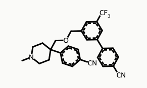 CN1CCC(COCc2cc(-c3ccc(C#N)cc3)cc(C(F)(F)F)c2)(c2ccc(C#N)cc2)CC1